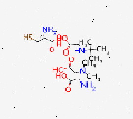 CC(C)(C)NCC(=O)O.CN(C)CC(=O)O.NCC(=O)O.N[C@@H](CS)C(=O)O